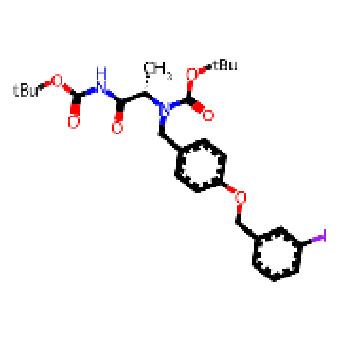 C[C@@H](C(=O)NC(=O)OC(C)(C)C)N(Cc1ccc(OCc2cccc(I)c2)cc1)C(=O)OC(C)(C)C